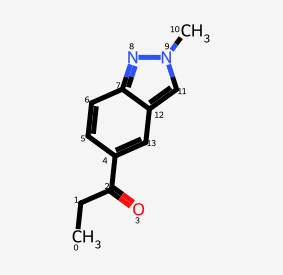 CCC(=O)c1ccc2nn(C)cc2c1